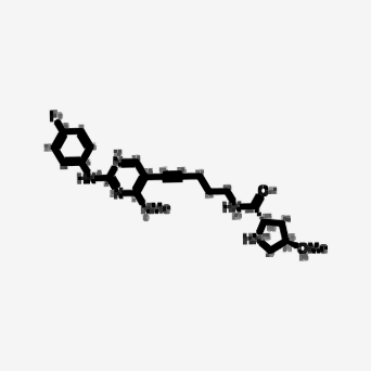 CNc1nc(Nc2ccc(F)cc2)ncc1C#CCCCNC(=O)[C@@H]1C[C@@H](OC)CN1